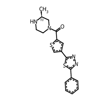 C[C@H]1CN(C(=O)c2cc(-c3nnc(-c4ccccc4)s3)cs2)CCN1